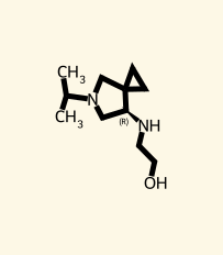 CC(C)N1C[C@H](NCCO)C2(CC2)C1